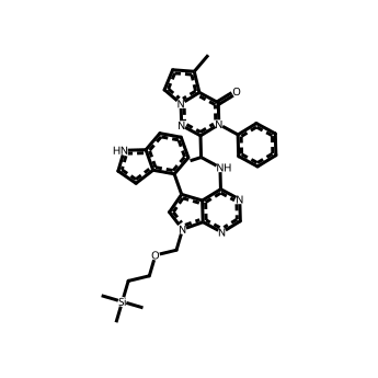 Cc1ccn2nc(C(C)Nc3ncnc4c3c(-c3cccc5[nH]ccc35)cn4COCC[Si](C)(C)C)n(-c3ccccc3)c(=O)c12